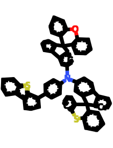 c1ccc2c(c1)Oc1ccccc1C21c2ccccc2-c2cc(N(c3ccc(-c4cccc5c4sc4ccccc45)cc3)c3ccc4c(c3)C3(c5ccccc5Sc5ccccc53)c3ccccc3-4)ccc21